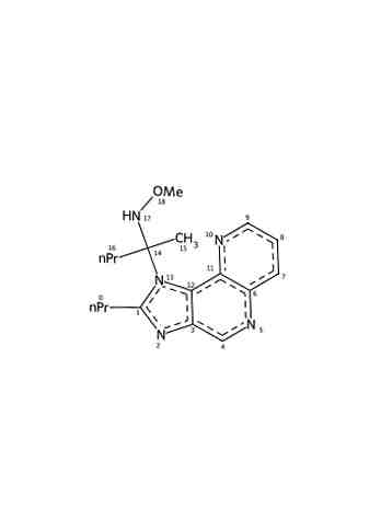 CCCc1nc2cnc3cccnc3c2n1C(C)(CCC)NOC